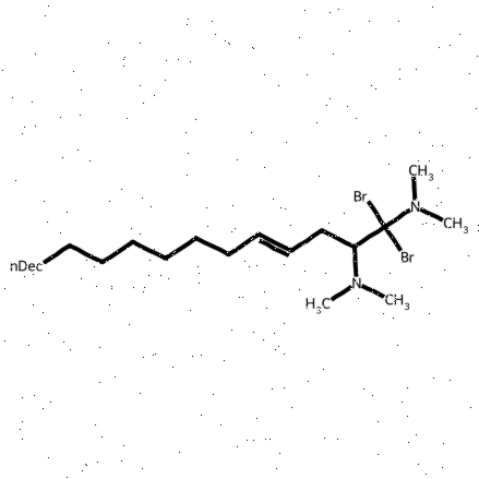 CCCCCCCCCCCCCCCCC=CCC(N(C)C)C(Br)(Br)N(C)C